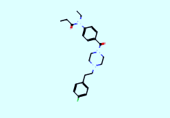 CCC(=O)N(CC)c1ccc(C(=O)N2CCN(CCc3ccc(Cl)cc3)CC2)cc1